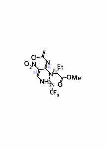 C=C(Cl)/N=C(\C(=C/N)[N+](=O)[O-])N(CCC(F)(F)F)[C@H](CC)C(=O)OC